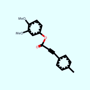 COc1ccc(OC(=O)C#Cc2ccc(C)cc2)cc1OC